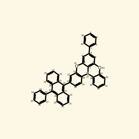 c1ccc(-c2cc3c4c(c2)Oc2cc(-c5c6ccccc6c(-c6ccccc6)c6ccccc56)ccc2B4c2ccccc2O3)cc1